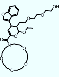 CCOC1OC(C(=O)N2CCOCCOCCOCCOCC2)=CC(c2coc3ccccc23)C1CCOCCOCCO